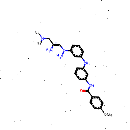 CCN(CC)C/C(N)=C/N(N)c1cccc(Nc2cccc(NC(=O)c3ccc(OC)cc3)c2)c1